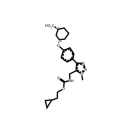 Cn1nnc(-c2ccc(O[C@H]3CCC[C@H](C(=O)O)C3)cc2)c1CNC(=O)OCCC1CC1